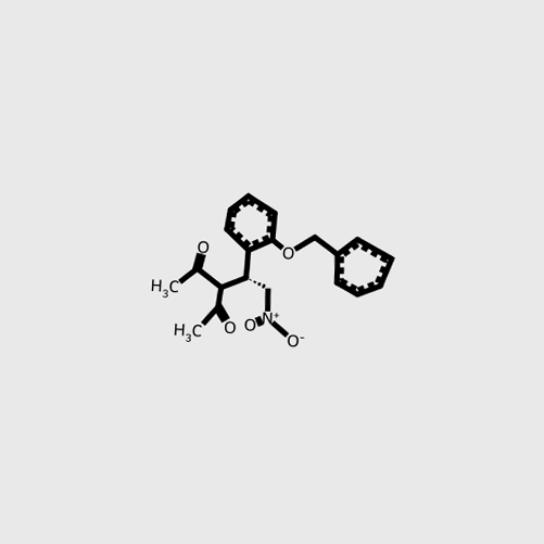 CC(=O)C(C(C)=O)[C@@H](C[N+](=O)[O-])c1ccccc1OCc1ccccc1